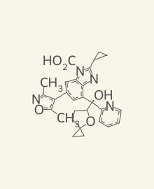 Cc1noc(C)c1-c1cc([C@](O)(c2ccccn2)C2CCC3(CC3)O2)c2nc(C3CC3)n(C(=O)O)c2c1